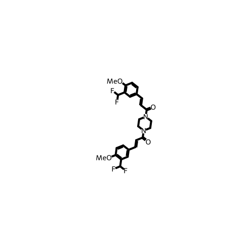 COc1ccc(C=CC(=O)N2CCN(C(=O)C=Cc3ccc(OC)c(C(F)F)c3)CC2)cc1C(F)F